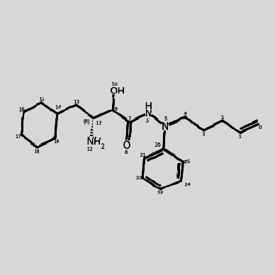 C=CCCCN(NC(=O)C(O)[C@H](N)CC1CCCCC1)c1ccccc1